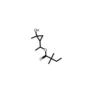 CCC(C)(C)C(=O)OC(C)C1CC1(C)O